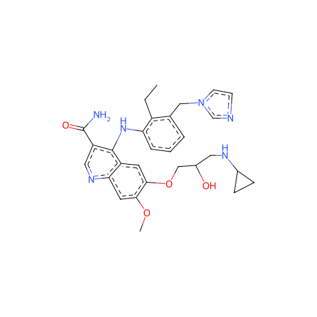 CCc1c(Cn2ccnc2)cccc1Nc1c(C(N)=O)cnc2cc(OC)c(OCC(O)CNC3CC3)cc12